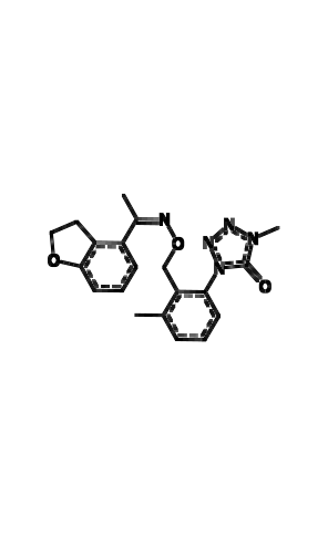 C/C(=N/OCc1c(C)cccc1-n1nnn(C)c1=O)c1cccc2c1CCO2